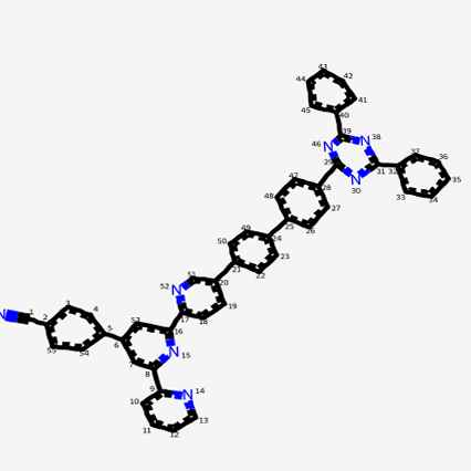 N#Cc1ccc(-c2cc(-c3ccccn3)nc(-c3ccc(-c4ccc(-c5ccc(-c6nc(-c7ccccc7)nc(-c7ccccc7)n6)cc5)cc4)cn3)c2)cc1